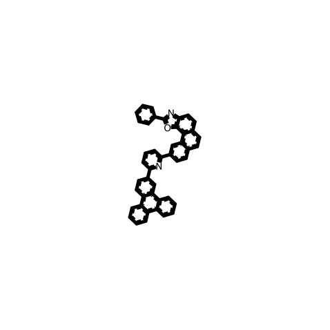 c1ccc(-c2nc3ccc4ccc5ccc(-c6cccc(-c7ccc8c9ccccc9c9ccccc9c8c7)n6)cc5c4c3o2)cc1